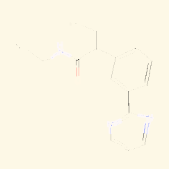 CC(C)CC(C(=O)NCC#N)c1cccc(-c2ncccn2)c1